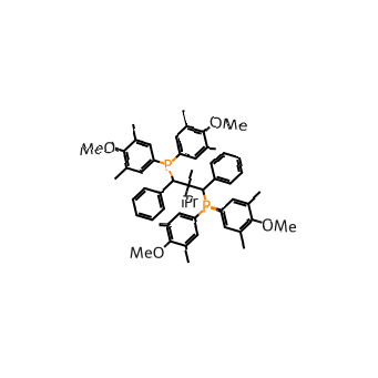 COc1c(C)cc(P(c2cc(C)c(OC)c(C)c2)C(c2ccccc2)C(C)(C(C)C)C(c2ccccc2)P(c2cc(C)c(OC)c(C)c2)c2cc(C)c(OC)c(C)c2)cc1C